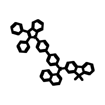 CC1(C)c2ccccc2-c2ccc(N(c3ccc(-c4ccc(-n5c(-c6ccccc6)c(-c6ccccc6)c6ccccc65)cc4)cc3)c3cccc4ccccc34)cc21